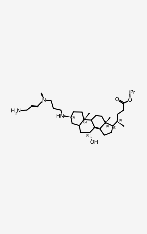 CC(C)OC(=O)CC[C@@H](C)[C@H]1CCC2C3C(CC[C@@]21C)[C@@]1(C)CC[C@H](NCCCN(C)CCCN)CC1C[C@H]3O